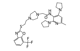 Cc1cc(N2CCCC2)c(NC(=O)CN2CCN(CCSc3nc4cccc(C(F)(F)F)c4o3)CC2)c(N2CCCC2)n1